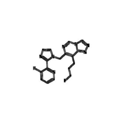 FCCCc1c(Cn2ccnc2-c2ncccc2F)ncn2cnnc12